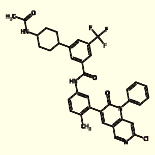 CC(=O)NC1CCC(c2cc(C(=O)Nc3ccc(C)c(-c4cc5cnc(Cl)cc5n(-c5ccccc5)c4=O)c3)cc(C(F)(F)F)c2)CC1